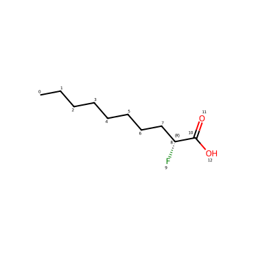 CCCCCCCC[C@@H](F)C(=O)O